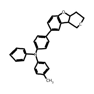 Cc1ccc(N(c2ccccc2)c2ccc(-c3ccc4c(c3)C3CCCCC3O4)cc2)cc1